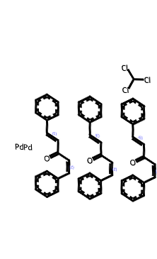 ClC(Cl)Cl.O=C(/C=C\c1ccccc1)/C=C/c1ccccc1.O=C(/C=C\c1ccccc1)/C=C/c1ccccc1.O=C(/C=C\c1ccccc1)/C=C/c1ccccc1.[Pd].[Pd]